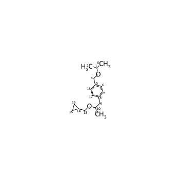 CC(C)OCc1ccc(CC(C)OCC2CC2)cc1